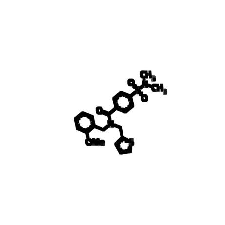 COc1ccccc1CN(Cc1cccs1)C(=O)c1ccc(S(=O)(=O)N(C)C)cc1